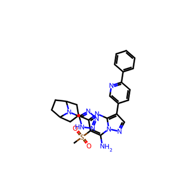 CS(=O)(=O)c1c(C2CC3CCC(C2)N3c2nnn[nH]2)nc2c(-c3ccc(-c4ccccc4)nc3)cnn2c1N